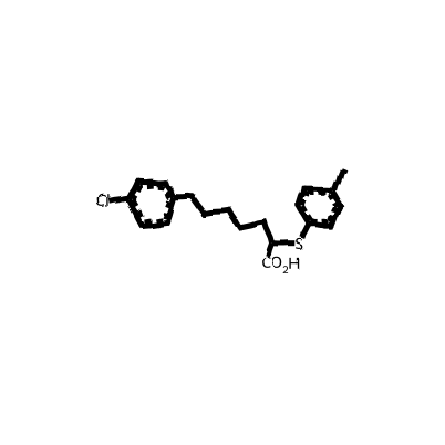 Cc1ccc(SC(CCCCCc2ccc(Cl)cc2)C(=O)O)cc1